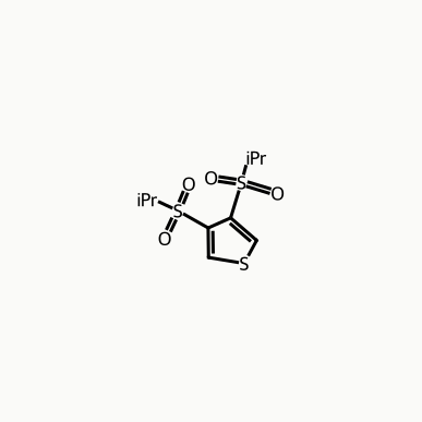 CC(C)S(=O)(=O)c1cscc1S(=O)(=O)C(C)C